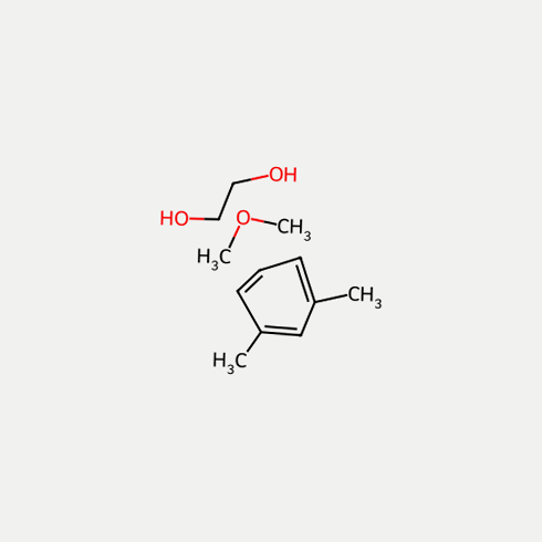 COC.Cc1cccc(C)c1.OCCO